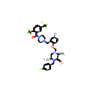 C[C@@H]1CN(COc2ccc(Cl)cc2CN2CCN(C(=O)c3cc(C(F)(F)F)ccc3C(F)(F)F)CC2)[C@@H](C)C(=C=O)N1Cc1ccc(F)cc1